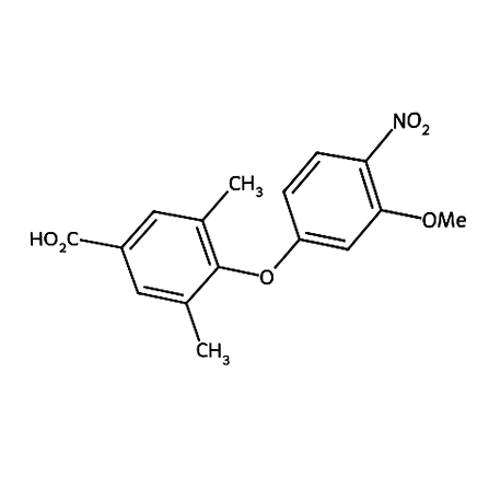 COc1cc(Oc2c(C)cc(C(=O)O)cc2C)ccc1[N+](=O)[O-]